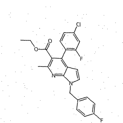 CCOC(=O)c1c(C)nc2c(ccn2Cc2ccc(F)cc2)c1-c1ccc(Cl)cc1F